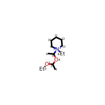 CCOC(C)OC(C)[N+]1(CC)CCCCC1